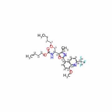 CCCCOCC(NC(=O)OCCCC)c1oc(-c2ccc(OC)c3nc(C(F)(F)F)ccc23)nc1C